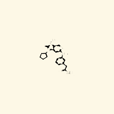 Cn1c(=O)n(C2CCCC2)c2cc(Nc3cccc(CC(N)=O)c3)ncc21